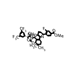 COC(=O)c1ccc(-c2ccc(OC)c(C3=C(CN4C(=O)O[C@H](c5cc(C(F)(F)F)cc(C(F)(F)F)c5)[C@@H]4C)CC(C)(C)CC3)n2)c(F)c1